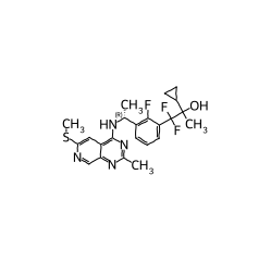 CSc1cc2c(N[C@H](C)c3cccc(C(F)(F)C(C)(O)C4CC4)c3F)nc(C)nc2cn1